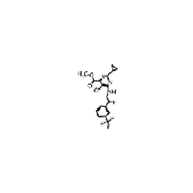 COC(=O)c1nc(C2CC2)nc(NCC(F)c2cccc(C(F)(F)F)c2)c1Cl